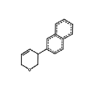 C1=CC(c2ccc3ccccc3c2)COC1